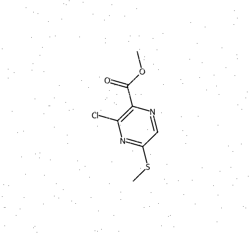 COC(=O)c1ncc(SC)nc1Cl